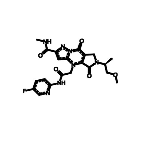 CNC(=O)c1cc2n(CC(=O)Nc3ccc(F)cn3)c3c(c(=O)n2n1)CN([C@@H](C)COC)C3=O